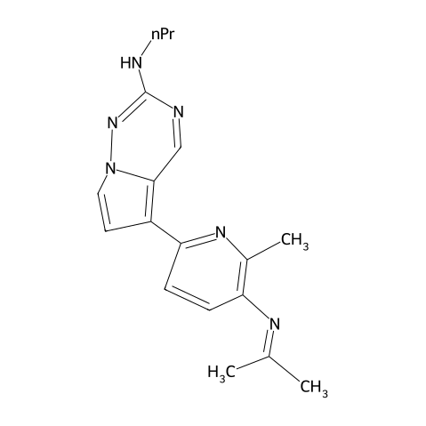 CCCNc1ncc2c(-c3ccc(N=C(C)C)c(C)n3)ccn2n1